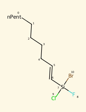 CCCCCCCCCC=C[Si](F)(Cl)Br